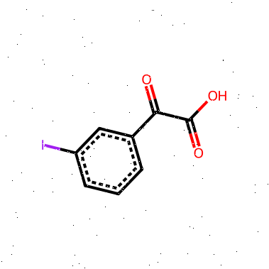 O=C(O)C(=O)c1cccc(I)c1